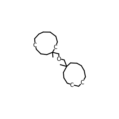 CC1(COCC2(C)CCCCCCCCCCC2)CCCCCCCCCCC1